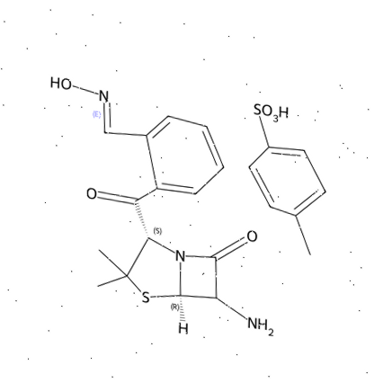 CC1(C)S[C@@H]2C(N)C(=O)N2[C@H]1C(=O)c1ccccc1/C=N/O.Cc1ccc(S(=O)(=O)O)cc1